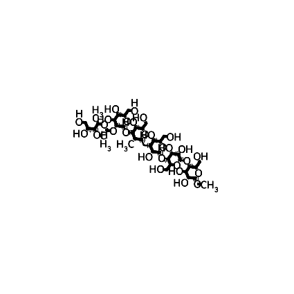 CO[C@@H]1OC(CO)[C@@H](O[C@@H]2OC(CO)[C@H](O[C@H]3OC(CO)[C@H](O)[C@H](C[C@@H]4OC(CO)[C@H](O)[C@H](O[C@@H]5OC(CO)[C@H](O)C(O)[C@@H]5OC(C)OC(C)[C@@H](O)[C@H](O)CO)C4C)C3O)C(O)[C@@H]2O)C(O)C1O